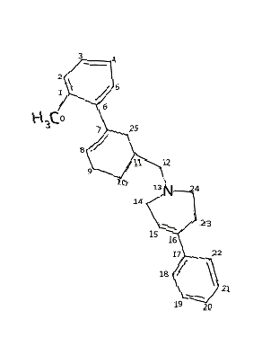 Cc1ccccc1C1=CCCC(CN2CC=C(c3ccccc3)CC2)C1